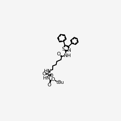 CC(C)(C)OC(=O)NS(=O)(=O)NCCCCCC(=O)Nc1nc(-c2ccccc2)c(-c2ccccc2)s1